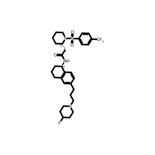 O=C(C[C@@H]1CCCCN1S(=O)(=O)c1ccc(C(F)(F)F)cc1)N[C@@H]1CCCc2cc(CCCN3CCC(F)CC3)ccc21